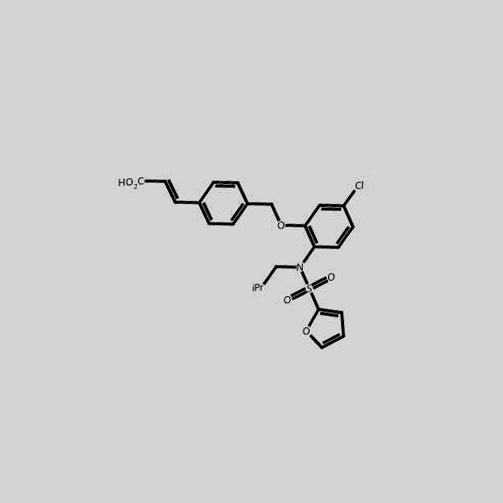 CC(C)CN(c1ccc(Cl)cc1OCc1ccc(/C=C/C(=O)O)cc1)S(=O)(=O)c1ccco1